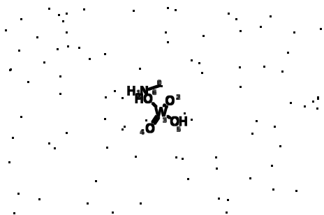 CN.[O]=[W](=[O])([OH])[OH]